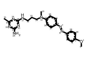 COc1ccc(/N=N/c2ccc(N(C)CCCNc3nc(C)nc(N)n3)cc2)cc1